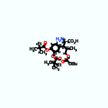 CCC(C)(C)C(=O)Oc1ccc(C(C(C)COC(=O)OCC(C)C)[C@H](N)C(=O)O)cc1OC(=O)C(C)(C)CC